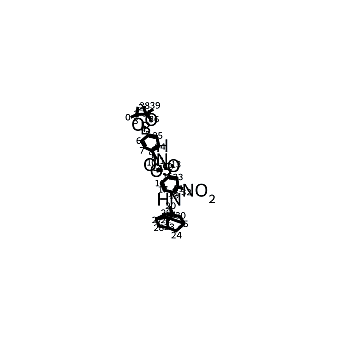 CC1(C)OB(c2ccc(C(=O)NS(=O)(=O)c3ccc(NCC45CC6CC(CC(C6)C4)C5)c([N+](=O)[O-])c3)cc2)OC1(C)C